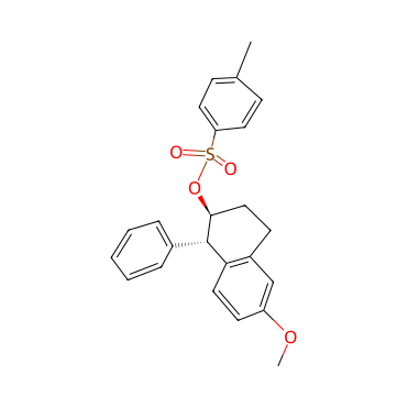 COc1ccc2c(c1)CC[C@H](OS(=O)(=O)c1ccc(C)cc1)[C@H]2c1ccccc1